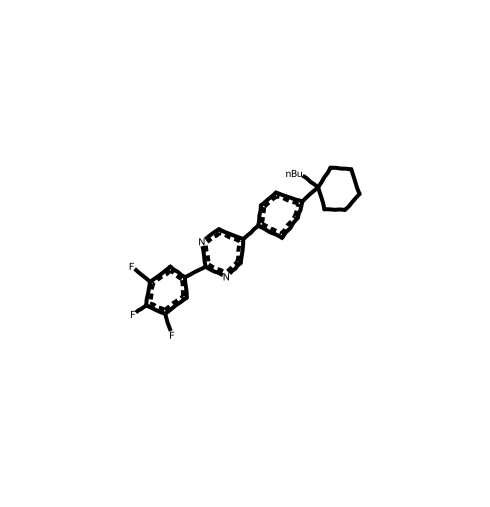 CCCCC1(c2ccc(-c3cnc(-c4cc(F)c(F)c(F)c4)nc3)cc2)CCCCC1